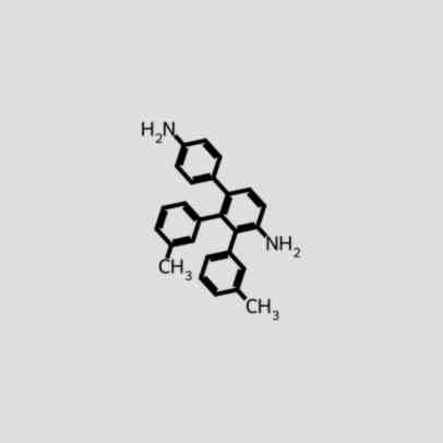 Cc1cccc(-c2c(N)ccc(-c3ccc(N)cc3)c2-c2cccc(C)c2)c1